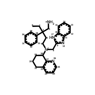 CCC(CN)(CCN(Cc1nc2ccccc2[nH]1)C1CCCc2cccnc21)c1ccccc1